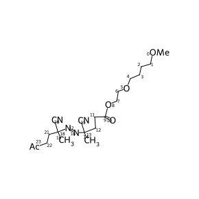 COCCCCOCCOC(=O)CCC(C)(C#N)N=NC(C)(C#N)CCC(C)=O